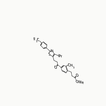 COC(=O)CCc1ccc(C(=O)CCc2sc(-c3ccc(C(F)(F)F)cc3)nc2C(C)C)cc1C